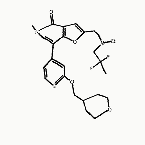 CCN(Cc1cc2c(=O)n(C)cc(-c3ccnc(OCC4CCOCC4)c3)c2o1)CC(C)(F)F